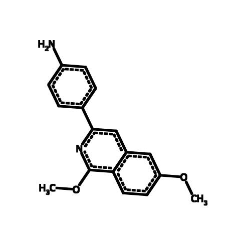 COc1ccc2c(OC)nc(-c3ccc(N)cc3)cc2c1